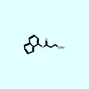 COCCC(=O)Oc1cccc2ccccc12